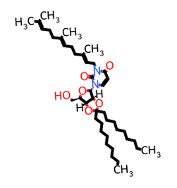 CCCCCCCCCC1(CCCCCCCCC)O[C@H]2[C@H](O1)[C@@H](CO)O[C@H]2n1ccc(=O)n(C/C=C(\C)CC/C=C(\C)CCC=C(C)C)c1=O